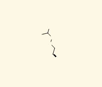 C=CCSSC(Cl)Cl